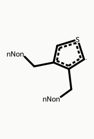 CCCCCCCCCCc1[c]scc1CCCCCCCCCC